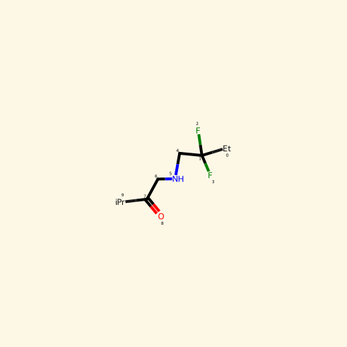 CCC(F)(F)CNCC(=O)C(C)C